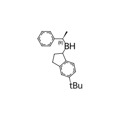 C[C@@H](BC1CCc2cc(C(C)(C)C)ccc21)c1ccccc1